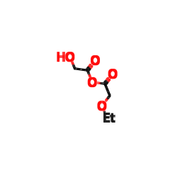 CCOCC(=O)OC(=O)CO